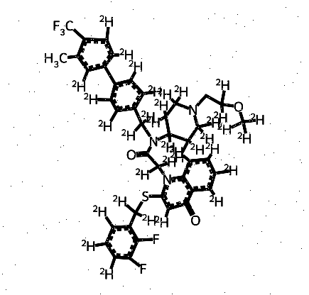 [2H]c1c([2H])c(F)c(F)c(C([2H])([2H])Sc2c([2H])c(=O)c3c([2H])c([2H])c([2H])c([2H])c3n2C([2H])([2H])C(=O)N(C([2H])([2H])c2c([2H])c([2H])c(-c3c([2H])c([2H])c(C(F)(F)F)c(C)c3[2H])c([2H])c2[2H])C2([2H])C([2H])([2H])C([2H])([2H])N(CC([2H])([2H])OC([2H])([2H])[2H])C([2H])([2H])C2([2H])[2H])c1[2H]